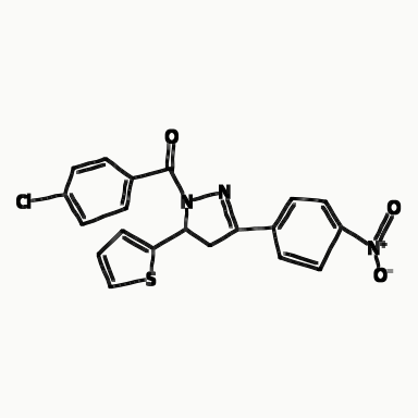 O=C(c1ccc(Cl)cc1)N1N=C(c2ccc([N+](=O)[O-])cc2)CC1c1cccs1